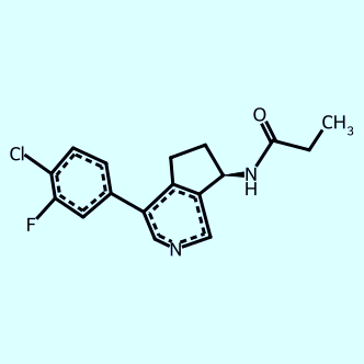 CCC(=O)N[C@@H]1CCc2c(-c3ccc(Cl)c(F)c3)cncc21